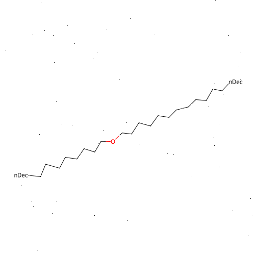 CCCCCCCCCCCCCCCCCCCCCCOCCCCCCCCCCCCCCCCCC